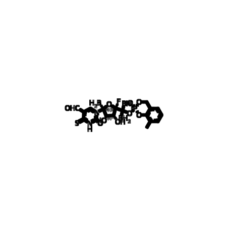 BC(B)(OP1(=O)OCc2cccc(C)c2O1)[C@@]1(F)O[C@@](B)(n2cc(C=O)c(=S)[nH]c2=O)[C@H](O)[C@@H]1O